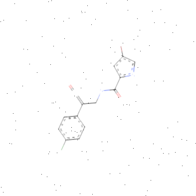 O=C=C(CNC(=O)c1cc(Br)c[nH]1)c1ccc(Cl)cc1